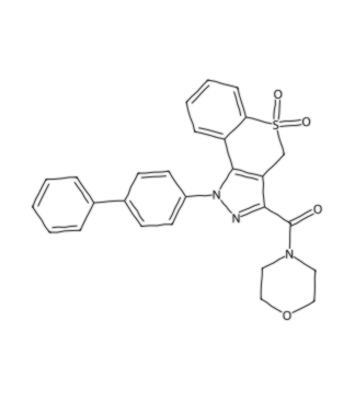 O=C(c1nn(-c2ccc(-c3ccccc3)cc2)c2c1CS(=O)(=O)c1ccccc1-2)N1CCOCC1